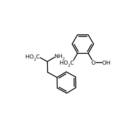 NC(Cc1ccccc1)C(=O)O.O=C(O)c1ccccc1OO